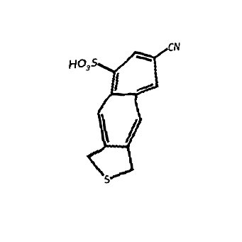 N#Cc1cc(S(=O)(=O)O)c2cc3c(cc2c1)CSC3